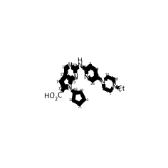 CCN1CCN(c2ccc(Nc3ncc4cc(C(=O)O)n(C5CCCC5)c4n3)nc2)CC1